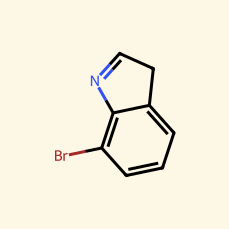 Brc1cccc2c1N=CC2